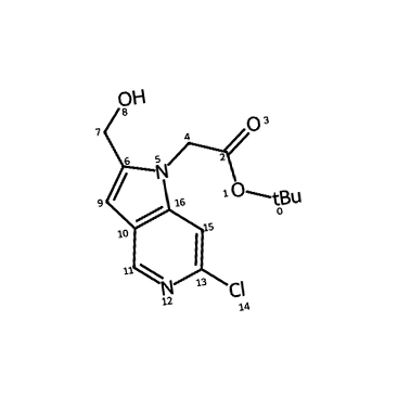 CC(C)(C)OC(=O)Cn1c(CO)cc2cnc(Cl)cc21